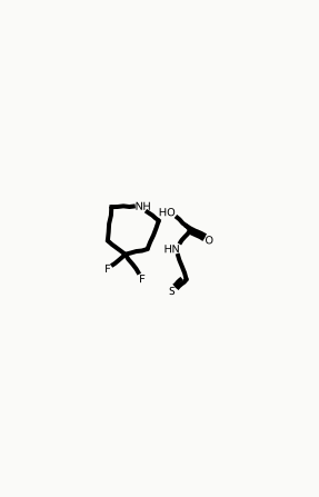 FC1(F)CCNCC1.O=C(O)NC=S